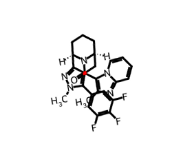 Cc1nc2ccccn2c1C(=O)N1[C@H]2CCC[C@@H]1c1nn(C)c(-c3cc(F)c(F)c(F)c3)c1C2